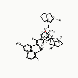 C#Cc1c(F)ccc2cc(O)cc(-c3ncc4c(N5C[C@H]6CC[C@@H](C5)N6C(=O)OC(C)(C)C)nc(OC[C@@]56CCCN5C[C@H](F)C6)nc4c3F)c12